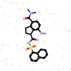 COc1ccc(C(=O)N(C)C)c2c1C(C(=O)NS(=O)(=O)c1cccc3ccccc13)CC2